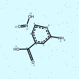 Nc1cc(C(=O)O)ccn1.O=NO